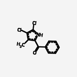 Cc1c(C(=O)c2ccccc2)[nH]c(Cl)c1Cl